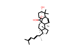 CC(C)=C/C=C/[C@@H](C)[C@H]1CC[C@@]2(C)[C@@H]3C=C[C@@]45OC(O)[C@]3(CC[C@]12C)C4CC[C@H](O)C5(C)C